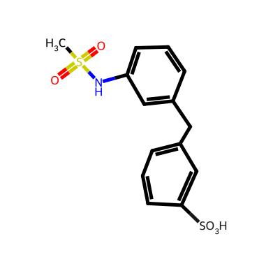 CS(=O)(=O)Nc1cccc(Cc2cccc(S(=O)(=O)O)c2)c1